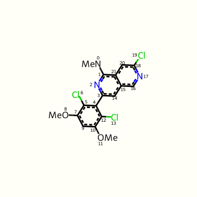 CNc1nc(-c2c(Cl)c(OC)cc(OC)c2Cl)cc2cnc(Cl)cc12